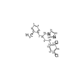 Cc1ccccc1CC(CCc1ccc(Cl)cc1Cl)Cn1ccnc1